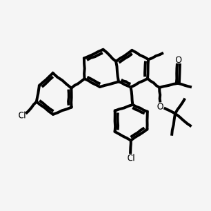 CC(=O)C(OC(C)(C)C)c1c(C)cc2ccc(-c3ccc(Cl)cc3)cc2c1-c1ccc(Cl)cc1